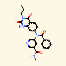 CCCn1c(=O)[nH]c2cc(N(C(=O)c3ccccc3)c3cncc(C(=O)NC)c3)ccc2c1=O